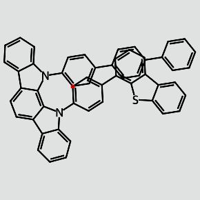 c1ccc(-c2ccc(-c3ccc(-n4c5ccccc5c5ccc6c7ccccc7n(-c7ccc(-c8cccc9c8sc8ccccc89)cc7)c6c54)cc3)cc2)cc1